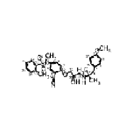 COc1ccc(CC(C)(C)NC[C@@H](O)COc2ccc(N(C)S(=O)(=O)c3ccccc3C)cc2C#N)cc1